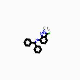 Cn1nc2c(N=C(c3ccccc3)c3ccccc3)cccc2c1F